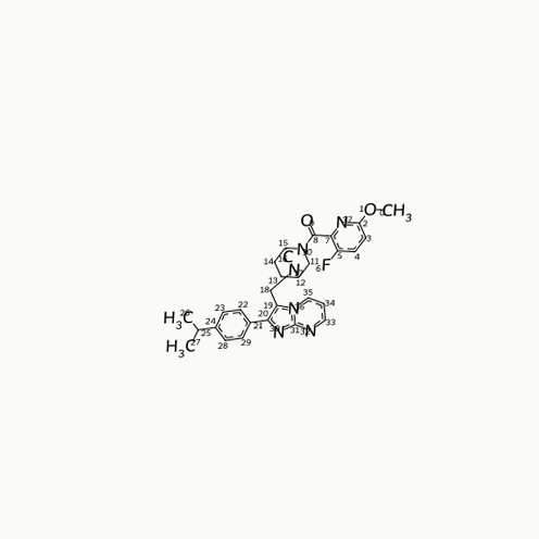 COc1ccc(F)c(C(=O)N2CC3CCC2CN3Cc2c(-c3ccc(C(C)C)cc3)nc3ncccn23)n1